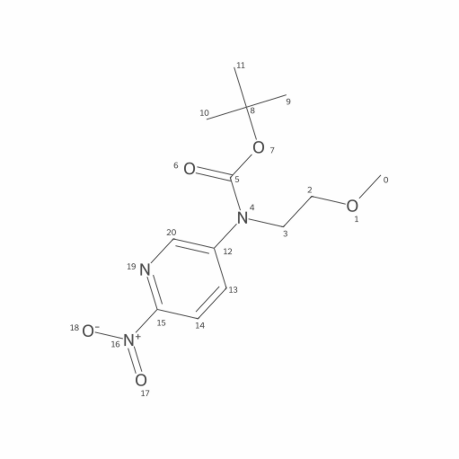 COCCN(C(=O)OC(C)(C)C)c1ccc([N+](=O)[O-])nc1